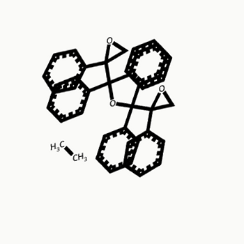 CC.c1ccc(C2(C(OC(c3ccccc3)(c3ccccc3)C3(c4ccccc4)CO3)(c3ccccc3)c3ccccc3)CO2)cc1